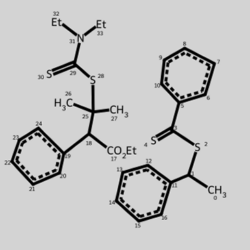 CC(SC(=S)c1ccccc1)c1ccccc1.CCOC(=O)C(c1ccccc1)C(C)(C)SC(=S)N(CC)CC